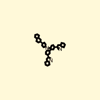 c1ccc2cc(-c3ccc(-n4c5ccc(-c6cnc7ccccc7c6)cc5c5cc(-c6cnc7ccccc7c6)ccc54)cc3)ccc2c1